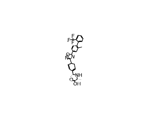 Cc1cc(-c2nc(C3C=CC([C@@H](C)N[C@H](C)C(=O)O)=CC3)no2)ccc1-c1ccccc1C(F)(F)F